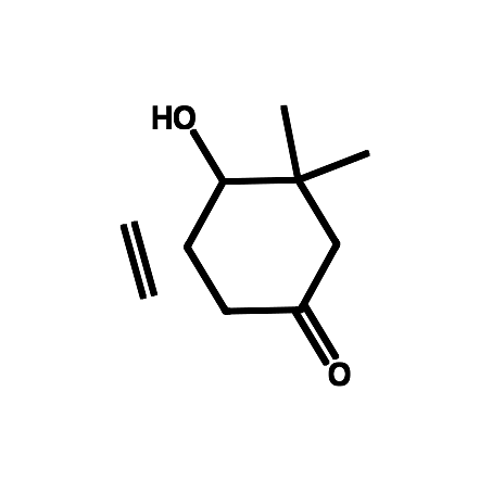 C=C.CC1(C)CC(=O)CCC1O